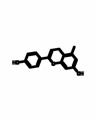 Cc1cc(O)cc2c1CC=C(c1ccc(O)cc1)O2